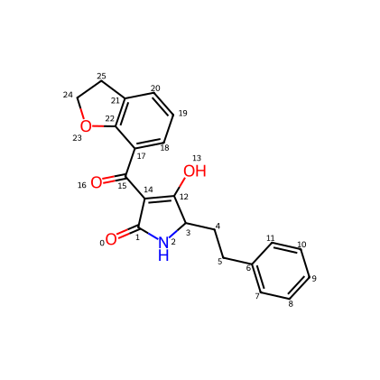 O=C1NC(CCc2ccccc2)C(O)=C1C(=O)c1cccc2c1OCC2